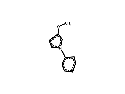 COc1ccn(-c2ccccc2)c1